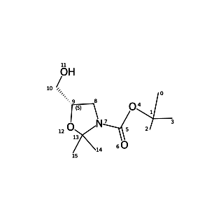 CC(C)(C)OC(=O)N1C[C@@H](CO)OC1(C)C